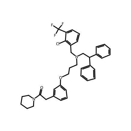 O=C(Cc1cccc(OCCCN(Cc2cccc(C(F)(F)F)c2Cl)CC(c2ccccc2)c2ccccc2)c1)N1CCCCC1